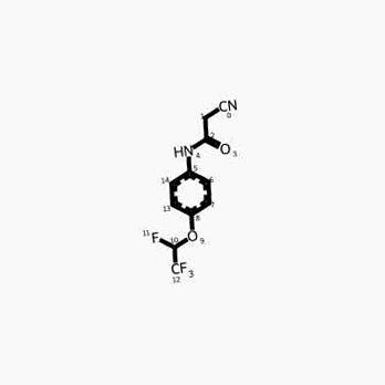 N#CCC(=O)Nc1ccc(OC(F)C(F)(F)F)cc1